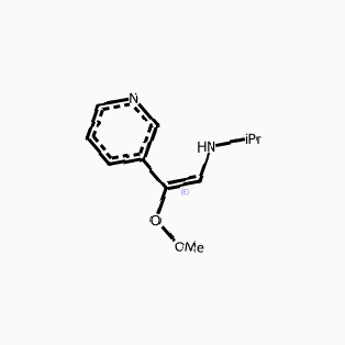 COO/C(=C/NC(C)C)c1cccnc1